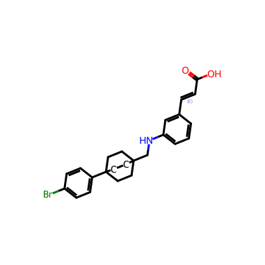 O=C(O)/C=C/c1cccc(NCC23CCC(c4ccc(Br)cc4)(CC2)CC3)c1